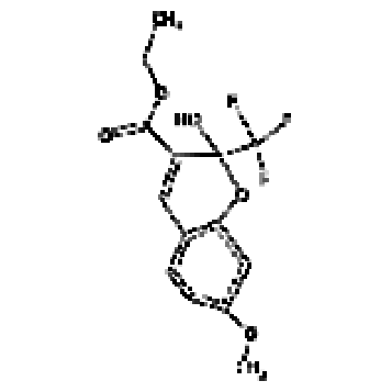 CCOC(=O)C1=Cc2ccc(OC)cc2OC1(O)C(F)(F)F